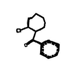 O=C(c1ccccc1)C1CCCCC1Cl